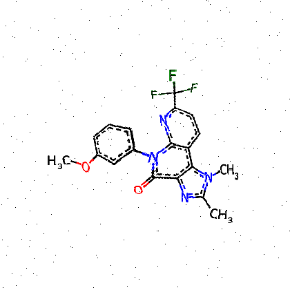 COc1cccc(-n2c(=O)c3nc(C)n(C)c3c3ccc(C(F)(F)F)nc32)c1